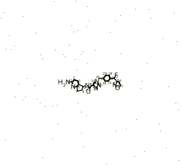 Nc1ccc2c(n1)CCC2NC(=O)c1cn(Cc2ccc(C(F)c3ccon3)cc2)nn1